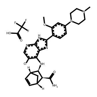 COc1cc(N2CCN(C)CC2)ccc1-c1nc2c(N[C@H]3[C@@H](C(N)=O)[C@@H]4C=C[C@H]3C4)c(Cl)cnc2[nH]1.O=C(O)C(F)(F)F